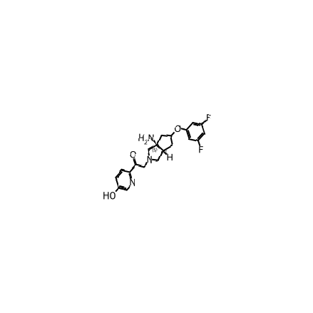 N[C@@]12CC(Oc3cc(F)cc(F)c3)C[C@@H]1CN(CC(=O)c1ccc(O)cn1)C2